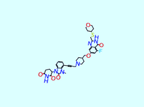 Cn1c(=O)n(C2CCC(=O)NC2=O)c2cccc(C#CCN3CCC(COc4cc(F)c5c(=O)[nH]c(CSC6CCOCC6)nc5c4)CC3)c21